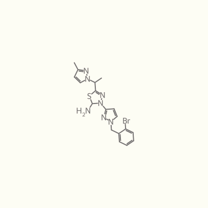 Cc1ccn(C(C)C2=NN(c3ccn(Cc4ccccc4Br)n3)C(N)S2)n1